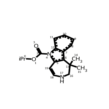 CC(C)OC(=O)n1c2c(c3ccccc31)C(C)(C)CNC=C2